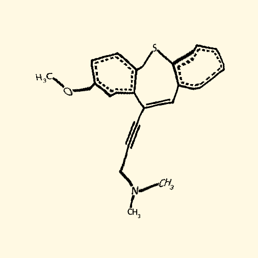 COc1ccc2c(c1)C(C#CCN(C)C)=Cc1ccccc1S2